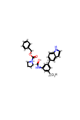 O=C(O)c1cc(NC(=O)[C@@H]2CCCN2C(=O)OCc2ccccc2)cc(-c2ccc3[nH]ccc3c2)c1